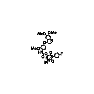 COc1cc(Oc2ccnc3cc(OC)c(OC)cc23)ccc1NC(=O)Oc1nn(C(C)C)c(=O)n(-c2ccc(F)cc2)c1=O